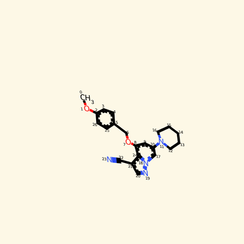 COc1ccc(COc2cc(N3CCCCC3)cn3ncc(C#N)c23)cc1